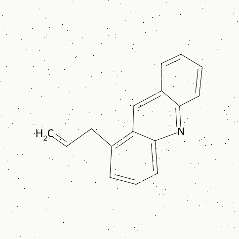 C=CCc1cccc2nc3ccccc3[c]c12